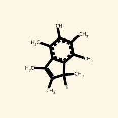 CC1=C(C)[C](C)([Ti])c2c(C)c(C)c(C)c(C)c21